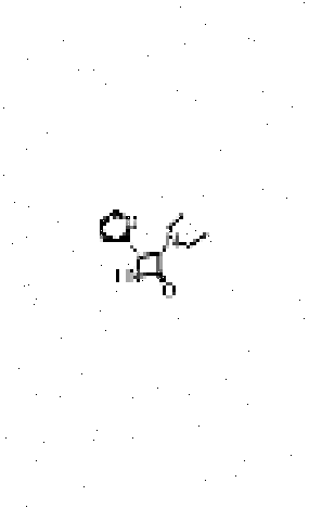 CCN(CC)[C@H]1C(=O)N[C@@H]1c1ccco1